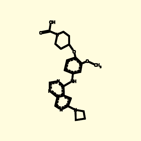 COc1cc(Nc2ncnc3cnc(N4CCC4)cc23)ccc1OC1CCN(C(=O)O)CC1